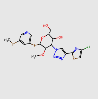 COC1C(Sc2cncc(SC)c2)OC(CO)C(O)C1n1cc(-c2nc(Cl)cs2)nn1